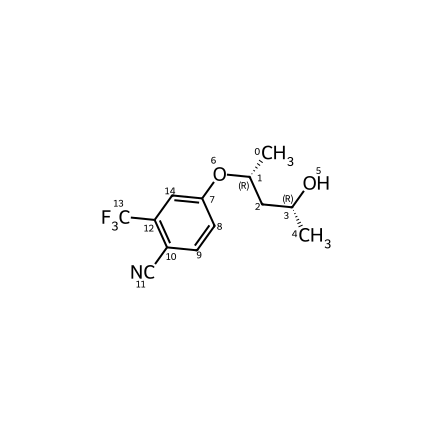 C[C@H](C[C@@H](C)O)Oc1ccc(C#N)c(C(F)(F)F)c1